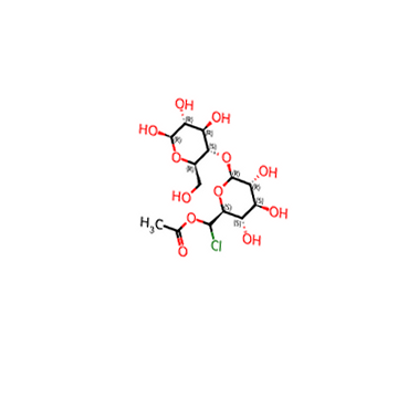 CC(=O)OC(Cl)[C@H]1O[C@@H](O[C@H]2[C@H](O)[C@@H](O)[C@H](O)O[C@@H]2CO)[C@H](O)[C@@H](O)[C@@H]1O